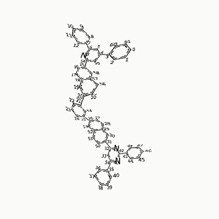 c1ccc(-c2cc(-c3ccccc3)nc(-c3ccc4cc(-c5cccc(-c6ccc7cc(-c8cc(-c9ccccc9)nc(-c9ccccc9)n8)ccc7c6)c5)ccc4c3)c2)cc1